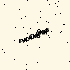 CC(C)N1CCC(N2CCCN(c3cccc(C(=O)NCc4cscn4)n3)CC2)CC1